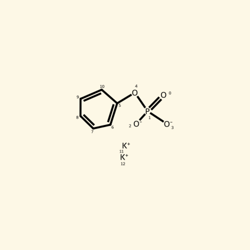 O=P([O-])([O-])Oc1ccccc1.[K+].[K+]